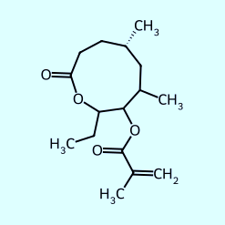 C=C(C)C(=O)OC1C(C)C[C@@H](C)CCC(=O)OC1CC